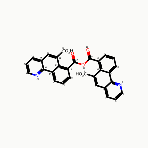 O=C(O)c1cc2cccnc2c2cccc(C(=O)OC(=O)c3cccc4c3c(C(=O)O)cc3cccnc34)c12